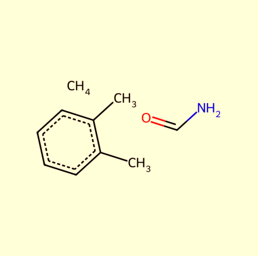 C.Cc1ccccc1C.NC=O